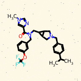 CC(C)c1ccc(CN2CC3C(C2)C3CN(Cc2cccc(OC(F)(F)F)c2)C(=O)c2cn(C)cn2)cc1